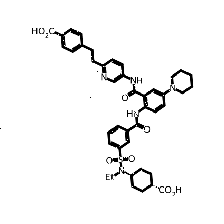 CCN([C@H]1CC[C@H](C(=O)O)CC1)S(=O)(=O)c1cccc(C(=O)Nc2ccc(N3CCCCC3)cc2C(=O)Nc2ccc(CCc3ccc(C(=O)O)cc3)nc2)c1